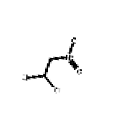 O=[N+]([O-])CC(Cl)Cl